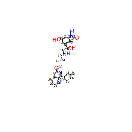 O=c1[nH]c2cc(O)cc([C@@H](O)CNCCCCOc3cc4cccnc4c(-c4cccc(F)c4)n3)c2s1